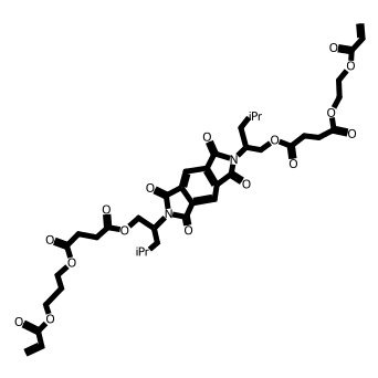 C=CC(=O)OCCCOC(=O)CCC(=O)OCC(CC(C)C)n1c(=O)c2cc3c(=O)n(C(COC(=O)CCC(=O)OCCOC(=O)C=C)CC(C)C)c(=O)c3cc2c1=O